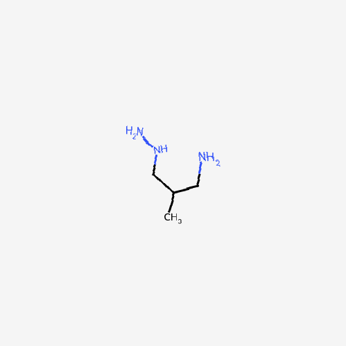 CC(CN)CNN